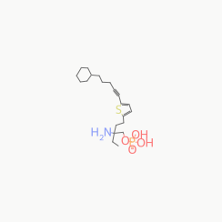 CCC(N)(CCc1ccc(C#CCCCC2CCCCC2)s1)COP(=O)(O)O